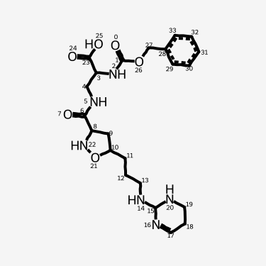 O=C(NC(CNC(=O)C1CC(CCCNC2N=CCCN2)ON1)C(=O)O)OCc1ccccc1